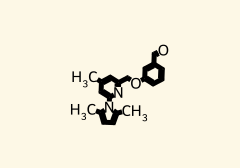 Cc1cc(COc2cccc(C=O)c2)nc(-n2c(C)ccc2C)c1